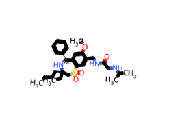 CCCC[C@]1(CC)CS(=O)(=O)c2cc(CNC(=O)CNC(C)C)c(OC)cc2[C@@H](c2ccccc2)N1